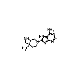 CC1(CN)CCN(c2nc3n[c]nc(N)c3[nH]2)CC1